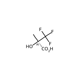 C[C@@](O)(C(=O)O)C(F)(F)F